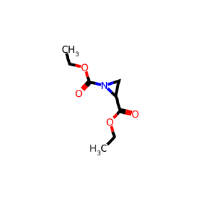 CCOC(=O)C1CN1C(=O)OCC